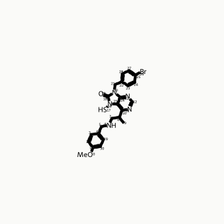 COc1ccc(CNCC(C)c2ncnc3c2n(S)c(=O)n3Cc2ccc(Br)cc2)cc1